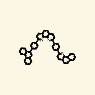 c1ccc2c(c1)cc(-c1ccc(-c3ccc4ccc5ccc(-c6ccc(-c7ccc8ccc9ccccc9c8n7)cc6)nc5c4n3)cc1)c1ccccc12